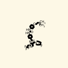 CN(C)CCOc1ccc(NC(=O)Nc2ccc(-c3nc(N4CC5CC(F)C(C4)O5)c4cnn(CC(F)(F)F)c4n3)cc2)cc1